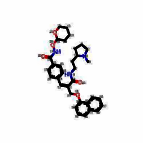 CN1CCCC1CCNC(=O)C(=Cc1ccc(C(=O)NOC2CCCCO2)cc1)COc1cccc2ccccc12